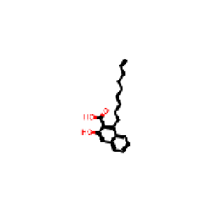 C=CCCCCCCCc1c(C(=O)O)c(O)cc2ccccc12